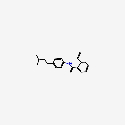 C=Cc1ccccc1C(=C)Nc1ccc(CCC(C)C)cc1